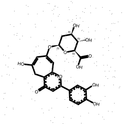 O=C(O)[C@H]1O[C@@H](OC2=Cc3oc(-c4ccc(O)c(O)c4)cc(=O)c3CC(O)=C2)C[C@@H](O)[C@@H]1O